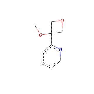 COC1(c2ccccn2)COC1